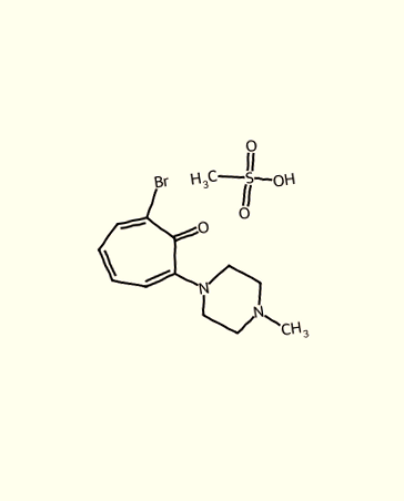 CN1CCN(c2ccccc(Br)c2=O)CC1.CS(=O)(=O)O